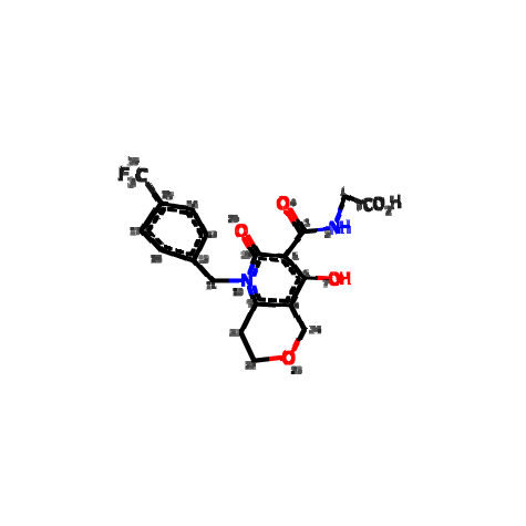 O=C(O)CNC(=O)c1c(O)c2c(n(Cc3ccc(C(F)(F)F)cc3)c1=O)CCOC2